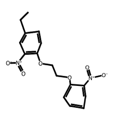 CCc1ccc(OCCOc2ccccc2[N+](=O)[O-])c([N+](=O)[O-])c1